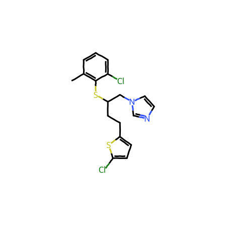 Cc1cccc(Cl)c1SC(CCc1ccc(Cl)s1)Cn1ccnc1